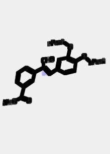 CCCCCOc1ccc(/C=C(\C=O)c2cccc(C(=O)OC)c2)cc1OCCCCC